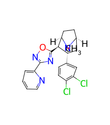 CN1[C@H]2CC[C@@H]1[C@H](c1nc(-c3ccccn3)no1)[C@@H](c1ccc(Cl)c(Cl)c1)C2